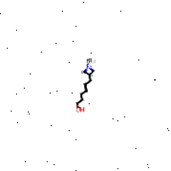 CC(C)(C)N1CC(CCCCCCO)C1